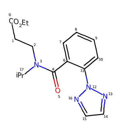 CCOC(=O)CCN(C(=O)c1ccccc1-n1nccn1)C(C)C